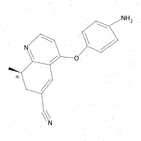 C[C@@H]1CC(C#N)=Cc2c(Oc3ccc(N)cc3)ccnc21